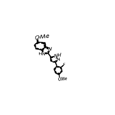 COc1ccc(-c2cc(-c3nc4cc(OC)ccc4[nH]3)[nH]n2)c(F)c1